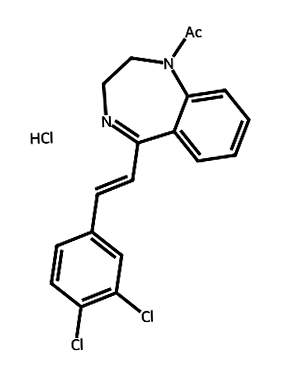 CC(=O)N1CCN=C(C=Cc2ccc(Cl)c(Cl)c2)c2ccccc21.Cl